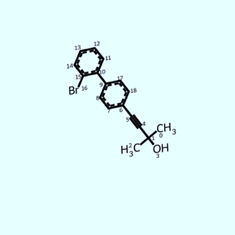 CC(C)(O)C#Cc1ccc(-c2ccccc2Br)cc1